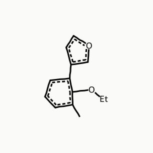 CCOc1c(C)cccc1-c1ccoc1